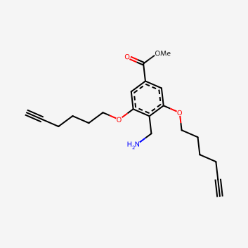 C#CCCCCOc1cc(C(=O)OC)cc(OCCCCC#C)c1CN